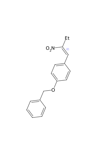 CC/C(=C/c1ccc(OCc2ccccc2)cc1)[N+](=O)[O-]